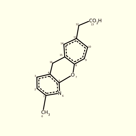 Cc1ccc2c(n1)Oc1ccc(CC(=O)O)cc1C2